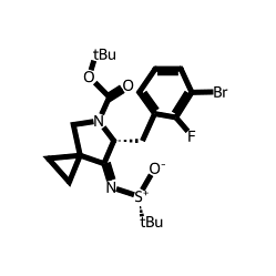 CC(C)(C)OC(=O)N1CC2(CC2)/C(=N/[S@+]([O-])C(C)(C)C)[C@H]1Cc1cccc(Br)c1F